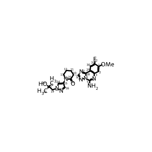 COc1cc2nc(N)n3nc([C@H]4CCCN(c5cnn(CC(C)(C)O)c5)C4=O)nc3c2cc1F